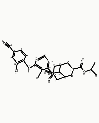 Cc1c(Nc2ccc(C#N)cc2Cl)ncnc1OC1C2CN(C(=O)OC(C)C)CC1CS(=O)(=O)C2